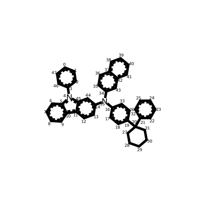 c1ccc(-n2c3ccccc3c3ccc(N(c4ccc(C5(c6ccccc6)CCCCC5)cc4)c4ccc5ccccc5c4)cc32)cc1